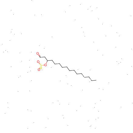 CCCCCCCCCCCCCC(CC=O)O[SH](=O)=O